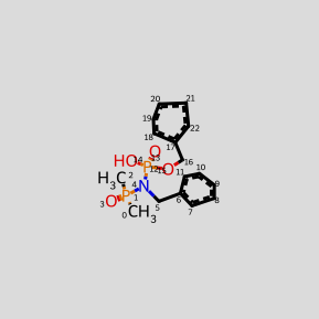 CP(C)(=O)N(Cc1ccccc1)P(=O)(O)OCc1ccccc1